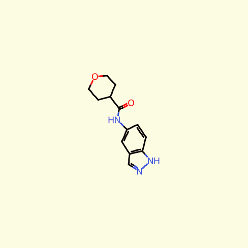 O=C(Nc1ccc2[nH]ncc2c1)C1CCOCC1